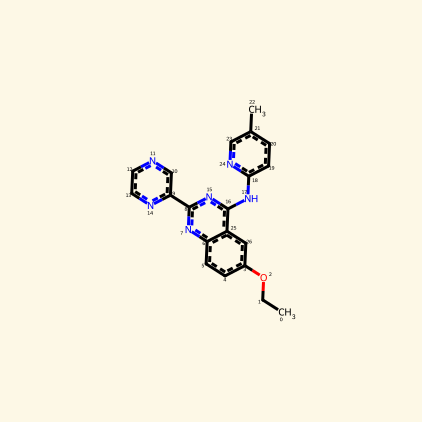 CCOc1ccc2nc(-c3cnccn3)nc(Nc3ccc(C)cn3)c2c1